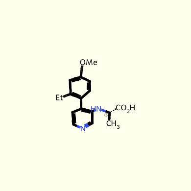 CCc1cc(OC)ccc1-c1ccncc1N[C@@H](C)C(=O)O